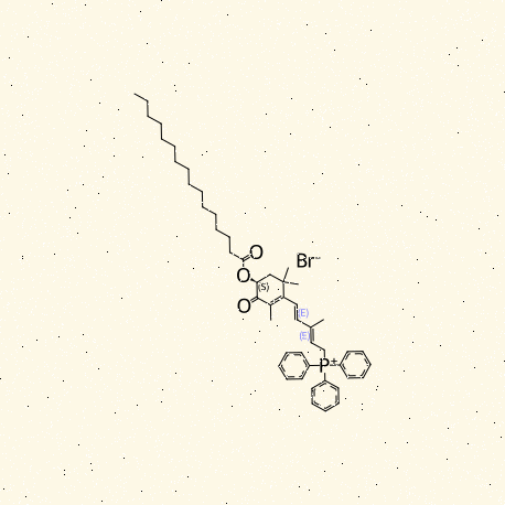 CCCCCCCCCCCCCCCC(=O)O[C@H]1CC(C)(C)C(/C=C/C(C)=C/C[P+](c2ccccc2)(c2ccccc2)c2ccccc2)=C(C)C1=O.[Br-]